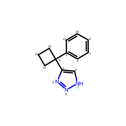 c1ccc(C2(c3c[nH]nn3)CCC2)cc1